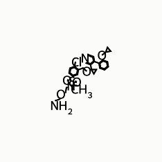 CN(CCOCCN)S(=O)(=O)c1ccc(Cl)c(COC2(c3cnccc3-c3ccccc3OC3CC3)CC2)c1